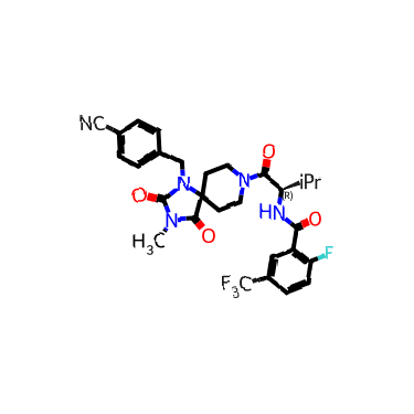 CC(C)[C@@H](NC(=O)c1cc(C(F)(F)F)ccc1F)C(=O)N1CCC2(CC1)C(=O)N(C)C(=O)N2Cc1ccc(C#N)cc1